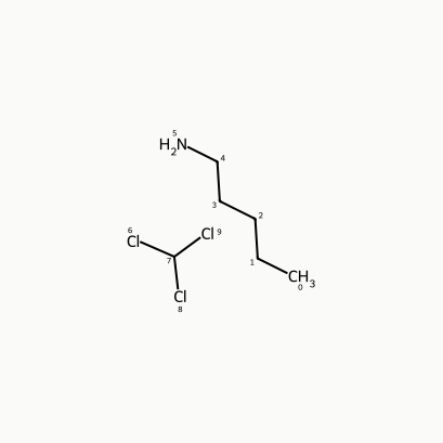 CCCCCN.ClC(Cl)Cl